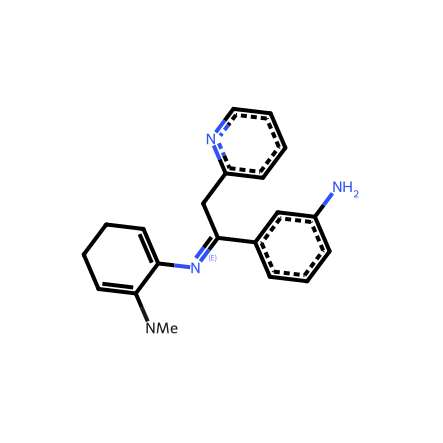 CNC1=CCCC=C1/N=C(\Cc1ccccn1)c1cccc(N)c1